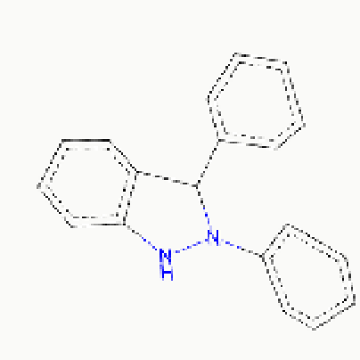 c1ccc(C2c3ccccc3NN2c2ccccc2)cc1